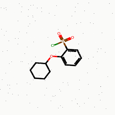 O=S(=O)(Cl)c1ccccc1OC1CCCCC1